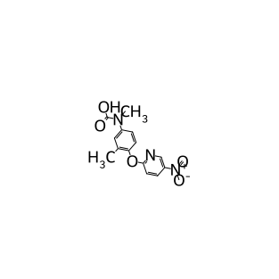 Cc1cc(N(C)C(=O)O)ccc1Oc1ccc([N+](=O)[O-])cn1